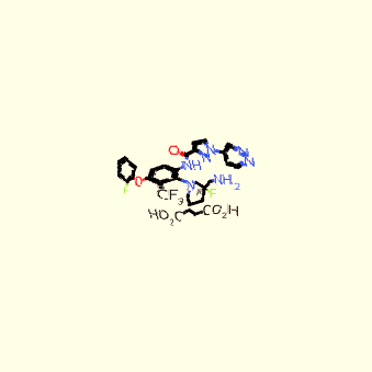 NC[C@]1(F)CCCN(c2c(NC(=O)c3ccn(-c4ccnnc4)n3)ccc(Oc3ccccc3F)c2C(F)(F)F)C1.O=C(O)CCC(=O)O